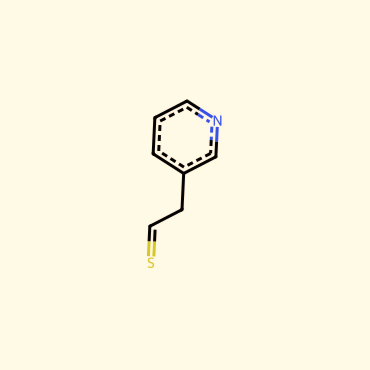 S=CCc1cccnc1